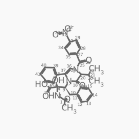 CC(=O)NC(O)(C(=O)O)[C@H](Cc1ccccc1)N1C(=O)C(C(C)C)N(C(=O)c2ccc([N+](=O)[O-])cc2)C=C1c1ccccc1